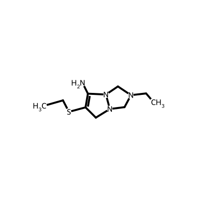 CCSC1=C(N)N2CN(CC)CN2C1